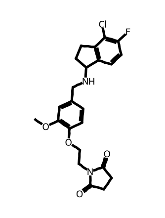 COc1cc(CNC2CCc3c2ccc(F)c3Cl)ccc1OCCN1C(=O)CCC1=O